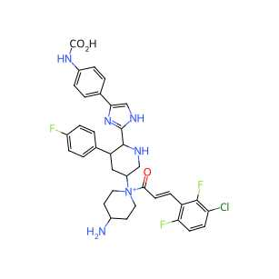 NC1CC[N+](C(=O)/C=C/c2c(F)ccc(Cl)c2F)(C2CNC(c3nc(-c4ccc(NC(=O)O)cc4)c[nH]3)C(c3ccc(F)cc3)C2)CC1